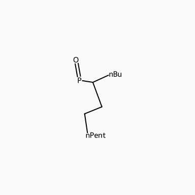 CCCCCCCC(CCCC)P=O